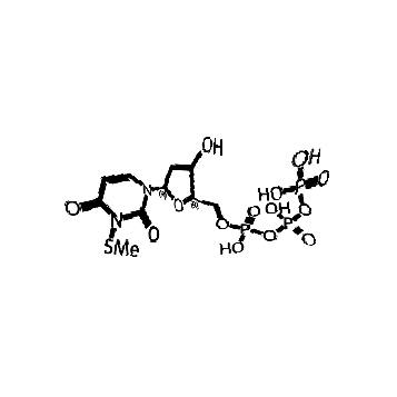 CSn1c(=O)ccn([C@H]2CC(O)[C@@H](COP(=O)(O)OP(=O)(O)OP(=O)(O)O)O2)c1=O